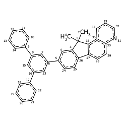 CC1(C)c2cc(-c3cc(-c4ccccc4)cc(-c4ccccc4)c3)ccc2-c2ccc3ncccc3c21